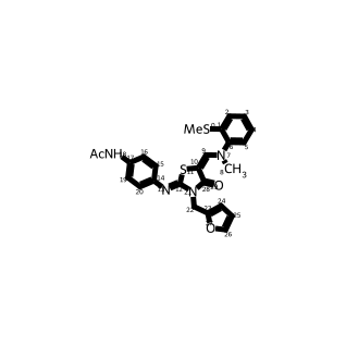 CSc1ccccc1N(C)/C=C1/SC(=Nc2ccc(NC(C)=O)cc2)N(Cc2ccco2)C1=O